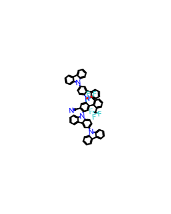 N#Cc1cc(-n2c3ccccc3c3cc(-n4c5ccccc5c5ccccc54)ccc32)c(-c2c(C(F)(F)F)cccc2C(F)(F)F)cc1-n1c2ccccc2c2cc(-n3c4ccccc4c4ccccc43)ccc21